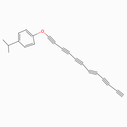 C#CC#CC#CC#CC#CC#COc1ccc(C(C)C)cc1